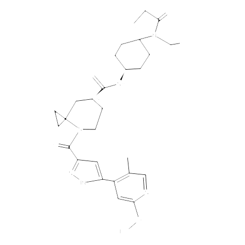 CCN1C(=O)CC[C@]12CC[C@H](NC(=O)[C@H]1CCN(C(=O)c3cc(-c4cc(OC)ncc4F)[nH]n3)C3(CC3)C1)CC2